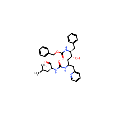 CC(C)C[C@@H]([C]=O)NC(=O)NC(Cc1ccccn1)C[C@@H](O)[C@H](Cc1ccccc1)NC(=O)OCc1ccccc1